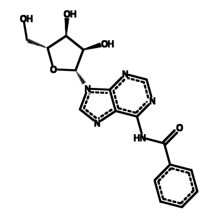 O=C(Nc1ncnc2c1ncn2[C@@H]1O[C@H](CO)[C@@H](O)[C@H]1O)c1ccccc1